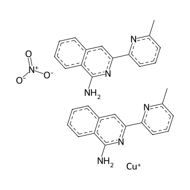 Cc1cccc(-c2cc3ccccc3c(N)n2)n1.Cc1cccc(-c2cc3ccccc3c(N)n2)n1.O=[N+]([O-])[O-].[Cu+]